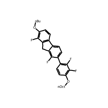 CCCCCCCCOc1ccc(-c2ccc3c(c2F)Cc2c-3ccc(OCCCC)c2F)c(F)c1F